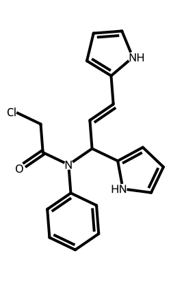 O=C(CCl)N(c1ccccc1)C(C=Cc1ccc[nH]1)c1ccc[nH]1